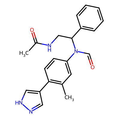 CC(=O)NCC(c1ccccc1)N(C=O)c1ccc(-c2cn[nH]c2)c(C)c1